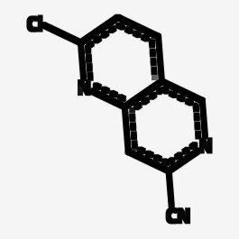 N#Cc1cc2nc(Cl)ccc2cn1